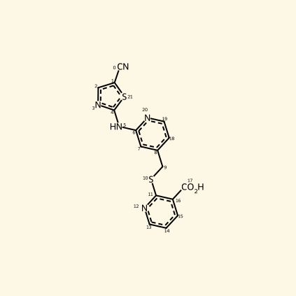 N#Cc1cnc(Nc2cc(CSc3ncccc3C(=O)O)ccn2)s1